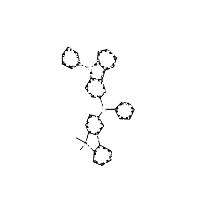 CC1(C)c2ccccc2-c2cc(N(c3ccccc3)c3ccc4c(c3)c3ccccc3n4-c3ccccc3)ccc21